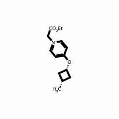 CCOC(=O)C[n+]1ccc(O[C@H]2C[C@@H](C)C2)cc1